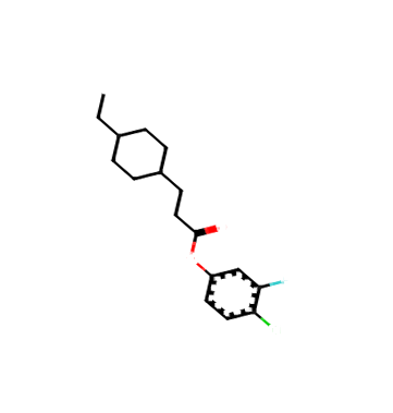 CCC1CCC(CCC(=O)Oc2ccc(Cl)c(F)c2)CC1